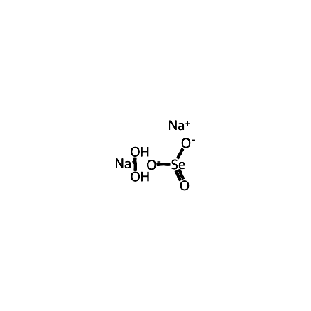 O=[Se]([O-])[O-].OO.[Na+].[Na+]